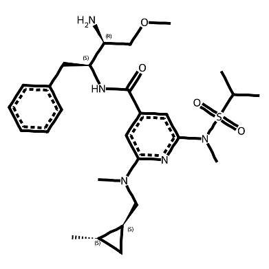 COC[C@H](N)[C@H](Cc1ccccc1)NC(=O)c1cc(N(C)C[C@H]2C[C@@H]2C)nc(N(C)S(=O)(=O)C(C)C)c1